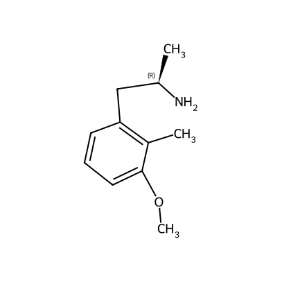 COc1cccc(C[C@@H](C)N)c1C